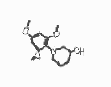 COc1cc(OC)c(N2CCC[C@H](O)C2)c(OC)c1